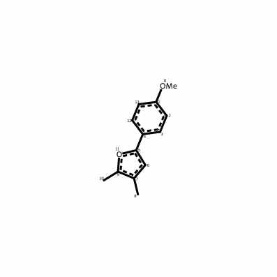 COc1ccc(-c2cc(C)c(C)o2)cc1